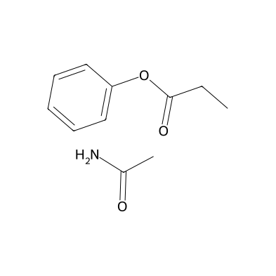 CC(N)=O.CCC(=O)Oc1ccccc1